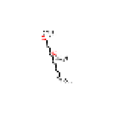 CCCCCCCCC=CCCCCCCCCOC(=O)OCC.O=S(=O)(O)O